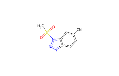 CS(=O)(=O)n1nnc2ccc(C#N)cc21